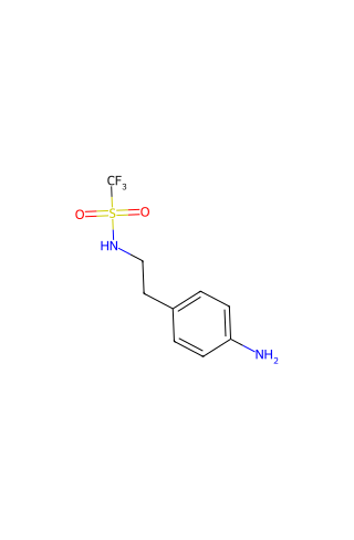 Nc1ccc(CCNS(=O)(=O)C(F)(F)F)cc1